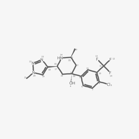 C[C@H]1C[C@@](O)(c2ccc(Cl)c(C(F)(F)F)c2)C[C@@H](c2cn(C)nn2)N1